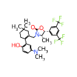 C[C@H]1[C@@H](c2cc(C(F)(F)F)cc(C(F)(F)F)c2)OC(=O)N1CC1=C(c2cc(N(C)C)ccc2O)CCC(C)(C)C1